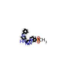 CS(=O)(=O)c1ccc2c(c1)CCN2c1cc(NC2CCN(Cc3ccccc3)CC2)ncn1